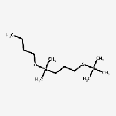 CCCCO[Si](C)(C)CCCS[Si](C)(C)C